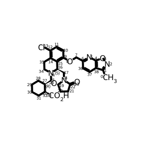 Cc1noc2nc(COc3ccc(Cl)c4c3[C@@H](CN3CCCC3=O)N(C(=O)[C@@H]3CCCC[C@@H]3C(=O)O)CC4)ccc12